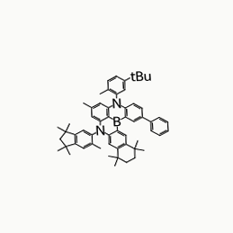 Cc1cc2c3c(c1)N(c1cc4c(cc1C)C(C)(C)CC4(C)C)c1cc4c(cc1B3c1cc(-c3ccccc3)ccc1N2c1cc(C(C)(C)C)ccc1C)C(C)(C)CCC4(C)C